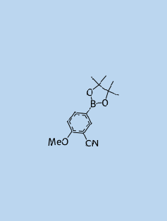 COc1ccc(B2OC(C)(C)C(C)(C)O2)cc1C#N